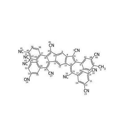 Cc1ccc(C2=C(C#N)c3cc4c(cc3/C2=C(\C#N)c2cc(C#N)cc(C#N)c2)/C(=C(\C#N)c2cc(C#N)cc(N=O)c2)C(c2ccc(C#N)c(C#N)c2)=C4C#N)cc1C#N